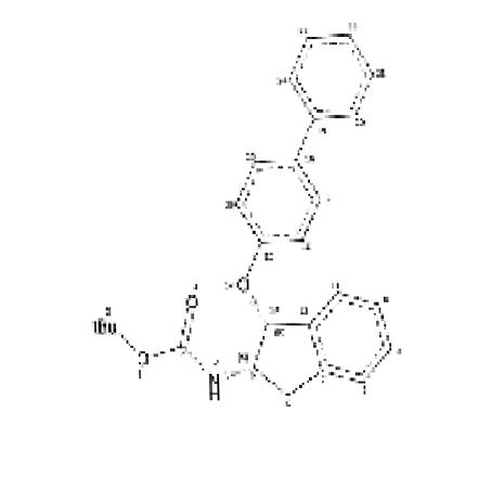 CC(C)(C)OC(=O)N[C@H]1Cc2ccccc2[C@H]1Oc1ccc(-c2ccccc2)cc1